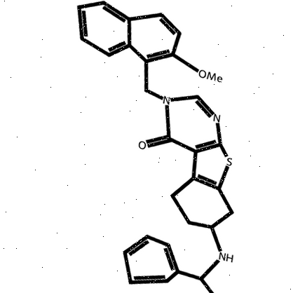 COc1ccc2ccccc2c1Cn1cnc2sc3c(c2c1=O)CCC(NC(C)c1ccccc1)C3